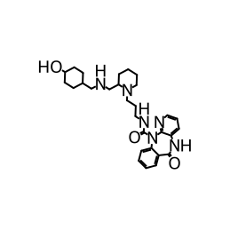 O=C1Nc2cccnc2N(C(=O)NCCCN2CCCCC2CNCC2CCC(O)CC2)c2ccccc21